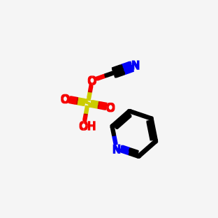 N#COS(=O)(=O)O.c1ccncc1